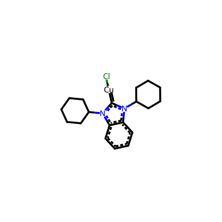 [Cl][Cu]=[c]1n(C2CCCCC2)c2ccccc2n1C1CCCCC1